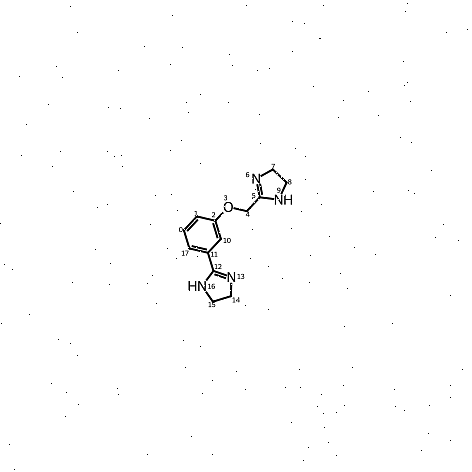 c1cc(OCC2=NCCN2)cc(C2=NCCN2)c1